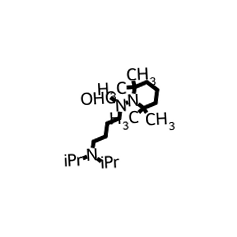 CC(C)N(CCCCN(C=O)N1C(C)(C)CCCC1(C)C)C(C)C